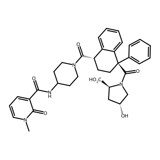 Cn1cccc(C(=O)NC2CCN(C(=O)[C@H]3CC[C@@](C(=O)N4C[C@H](O)C[C@H]4C(=O)O)(c4ccccc4)c4ccccc43)CC2)c1=O